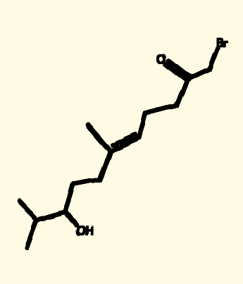 C/C(=C\CCC(=O)CBr)CCC(O)C(C)C